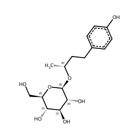 C[C@H](CCc1ccc(O)cc1)O[C@@H]1O[C@H](CO)[C@@H](O)[C@H](O)[C@H]1O